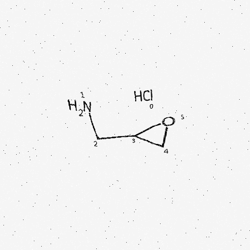 Cl.NCC1CO1